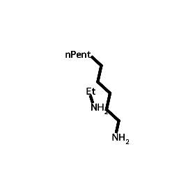 CCCCCCCCCCN.CCN